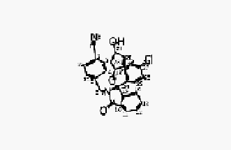 N#Cc1ccc(CN2C(=O)c3ccccc3C2(OC2C=CC(O)C2)c2ccc(Cl)cc2)cc1